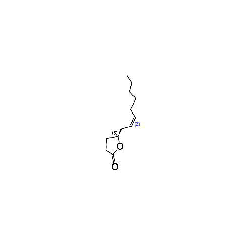 CCCCC/C=C\C[C@@H]1CCC(=O)O1